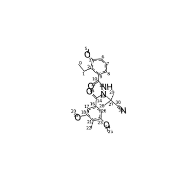 CCc1c(OC)cccc1C(=O)NN(C(=O)c1cc(OC)c(C)c(OC)c1)C(C)(C)C#N